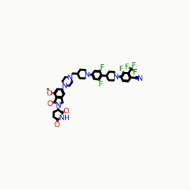 COc1cc(N2CCN(CC3CCN(c4cc(F)c(C5CCN(c6ccc(C#N)c(C(F)(F)F)c6F)CC5)c(F)c4)CC3)CC2)cc2c1C(=O)N(C1CCC(=O)NC1=O)C2